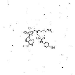 CC(C)(C)C1C=CC(NC(=O)NCCN(CCCCN)C[C@H]2OC(n3cnc4c(N)ncnc43)[C@H](O)[C@@H]2O)=CC1